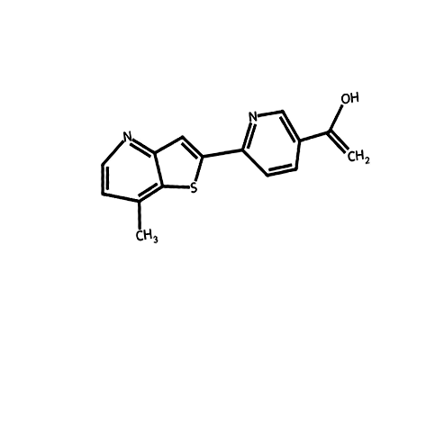 C=C(O)c1ccc(-c2cc3nccc(C)c3s2)nc1